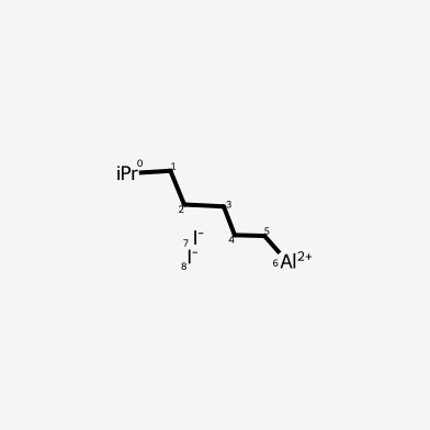 CC(C)CCCC[CH2][Al+2].[I-].[I-]